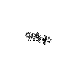 COC(=O)C(CCN1C(=O)c2ccccc2C1=O)CS(=O)(=O)c1ccc(-c2ccccc2)cc1